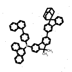 CC1(C)c2ccc(-c3ccc4c(c3)-c3ccccc3C43C4CC5CC(C4)CC3C5)cc2-c2cc(N(c3ccc(-c4cccc5ccccc45)cc3)c3cc4ccccc4c4ccccc34)ccc21